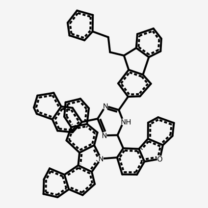 c1ccc(CCC2c3ccccc3-c3ccc(C4=NC(c5ccc6ccccc6c5)=NC(c5c(-n6c7cc8ccccc8cc7c7c8ccccc8ccc76)ccc6oc7ccccc7c56)N4)cc32)cc1